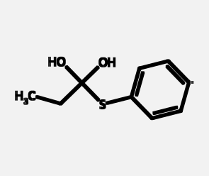 CCC(O)(O)Sc1cc[c]cc1